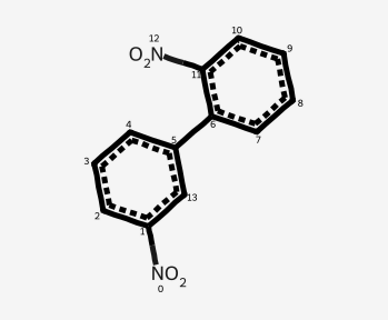 O=[N+]([O-])c1cccc(-c2ccc[c]c2[N+](=O)[O-])c1